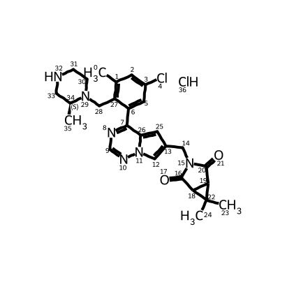 Cc1cc(Cl)cc(-c2ncnn3cc(CN4C(=O)C5C(C4=O)C5(C)C)cc23)c1CN1CCNC[C@@H]1C.Cl